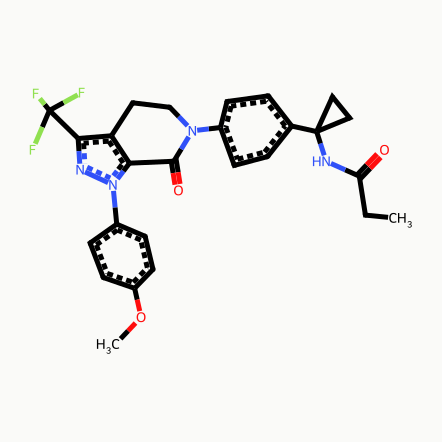 CCC(=O)NC1(c2ccc(N3CCc4c(C(F)(F)F)nn(-c5ccc(OC)cc5)c4C3=O)cc2)CC1